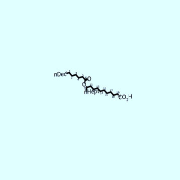 CCCCCCCCCCCCCCCC(=O)OC(CCCCCCC)CCCCCCCCCC(=O)O